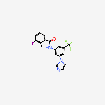 Cc1c(I)cccc1C(=O)Nc1cc(-n2ccnc2)cc(C(F)(F)F)c1